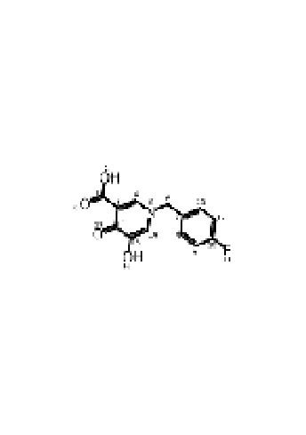 O=C(O)c1cn(Cc2ccc(F)cc2)cc(O)c1=O